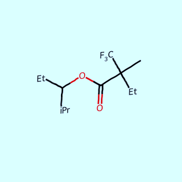 CCC(OC(=O)C(C)(CC)C(F)(F)F)C(C)C